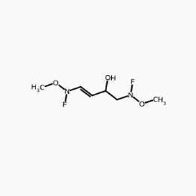 CON(F)/C=C/C(O)CN(F)OC